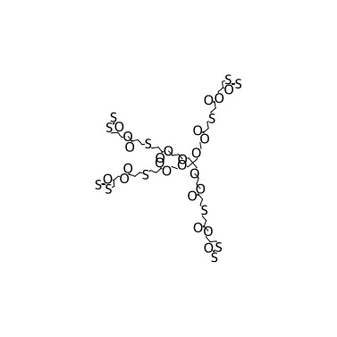 O=C(CCSCCC(=O)OCC1CSC(=S)O1)OCCOCC(COCCOC(=O)CCSCCC(=O)OCC1CSC(=S)O1)(COCCOC(=O)CCSCCC(=O)OCC1CSC(=S)O1)COCCOC(=O)CCSCCC(=O)OCC1CSC(=S)O1